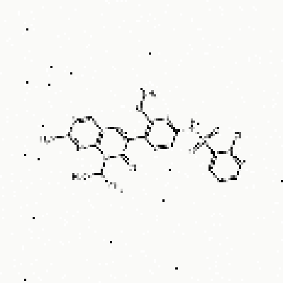 COc1nc(NS(=O)(=O)c2ccccc2Cl)ccc1-c1cc2cnc(N)nc2n(C(C)C)c1=O